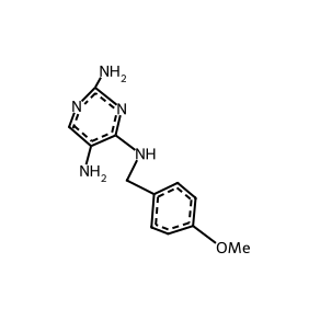 COc1ccc(CNc2nc(N)ncc2N)cc1